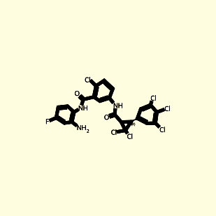 Nc1cc(F)ccc1NC(=O)c1cc(NC(=O)C2[C@H](c3cc(Cl)c(Cl)c(Cl)c3)C2(Cl)Cl)ccc1Cl